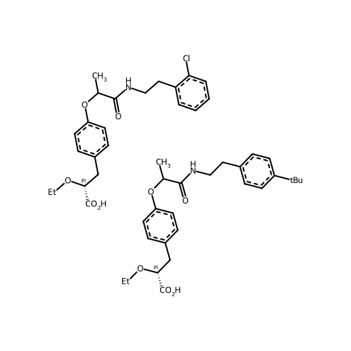 CCO[C@H](Cc1ccc(OC(C)C(=O)NCCc2ccc(C(C)(C)C)cc2)cc1)C(=O)O.CCO[C@H](Cc1ccc(OC(C)C(=O)NCCc2ccccc2Cl)cc1)C(=O)O